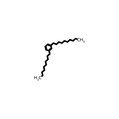 CCCCCCCCCCc1c[c]cc(CCCCCCCCCC)c1